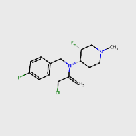 C=C(CCl)N(Cc1ccc(F)cc1)[C@H]1CCN(C)C[C@H]1F